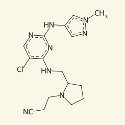 Cn1cc(Nc2ncc(Cl)c(NCC3CCCN3CCC#N)n2)cn1